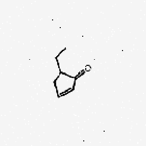 CCC1CC=CC1=O